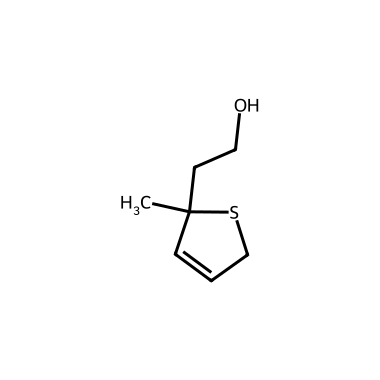 CC1(CCO)C=CCS1